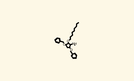 CCCCCCCCCOC1C(OCc2ccccc2)CC(OCc2ccccc2)C1NC